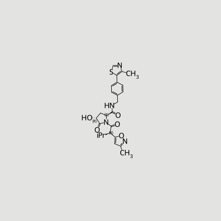 Cc1cc([C@H](C(=O)N2C(=O)[C@H](O)C[C@H]2C(=O)NCc2ccc(-c3scnc3C)cc2)C(C)C)on1